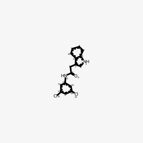 O=C(Cc1c[nH]c2ccccc12)Nc1cc(Cl)cc(Cl)c1